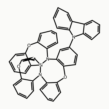 c1ccc2c(c1)Oc1ccc(-n3c4ccccc4c4ccccc43)cc1N1c3ccccc3Oc3ccccc3[Si]13c1ccccc1Oc1ccccc1N23